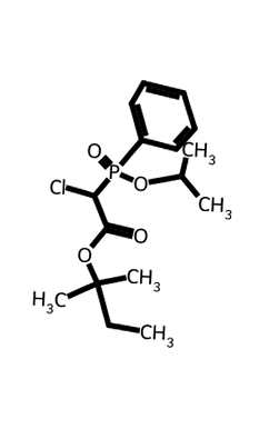 CCC(C)(C)OC(=O)C(Cl)P(=O)(OC(C)C)c1ccccc1